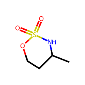 CC1CCOS(=O)(=O)N1